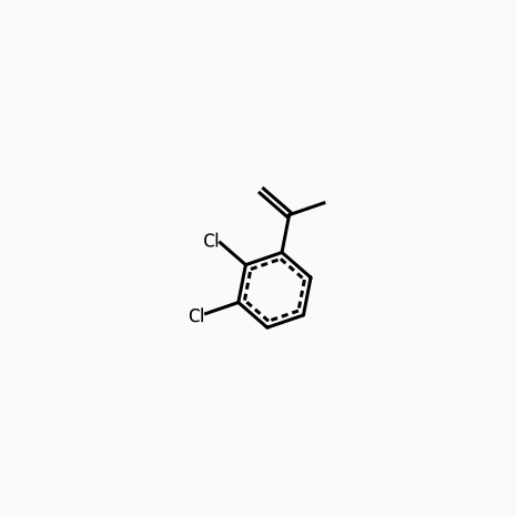 C=C(C)c1cccc(Cl)c1Cl